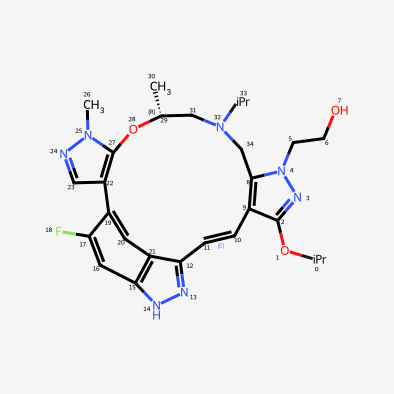 CC(C)Oc1nn(CCO)c2c1/C=C/c1n[nH]c3cc(F)c(cc13)-c1cnn(C)c1O[C@H](C)CN(C(C)C)C2